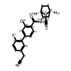 N#CCc1ccc(F)c(-c2ccc(C(=O)N[C@@H]3C[C@@H]4CC[C@H]3N4C#N)c(Cl)c2)c1